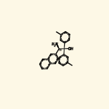 Cc1cccc(C(O)(c2cccc(C)c2)[C@H](N)c2ccc3ccccc3c2)c1